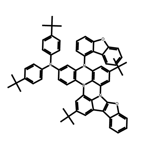 CC(C)(C)c1ccc(N(c2ccc(C(C)(C)C)cc2)c2ccc3c(c2)N(c2cccc4oc5ccccc5c24)c2cc(C(C)(C)C)cc4c2B3c2cc(C(C)(C)C)cc3c5c6ccccc6oc5n-4c23)cc1